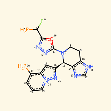 FC(P)c1nnc(N2CCc3[nH]cnc3[C@H]2c2cc3c(P)cccn3n2)o1